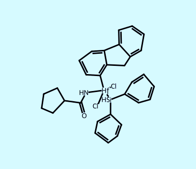 O=C([NH][Hf]([Cl])([Cl])([c]1cccc2c1Cc1ccccc1-2)[SiH](c1ccccc1)c1ccccc1)C1CCCC1